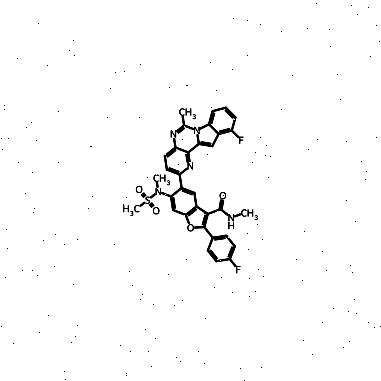 CNC(=O)c1c(-c2ccc(F)cc2)oc2cc(N(C)S(C)(=O)=O)c(-c3ccc4nc(C)n5c6cccc(F)c6cc5c4n3)cc12